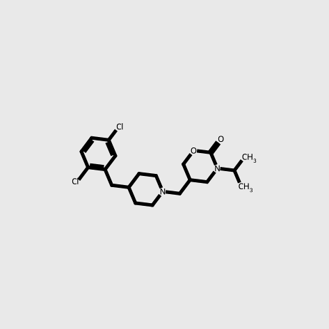 CC(C)N1CC(CN2CCC(Cc3cc(Cl)ccc3Cl)CC2)COC1=O